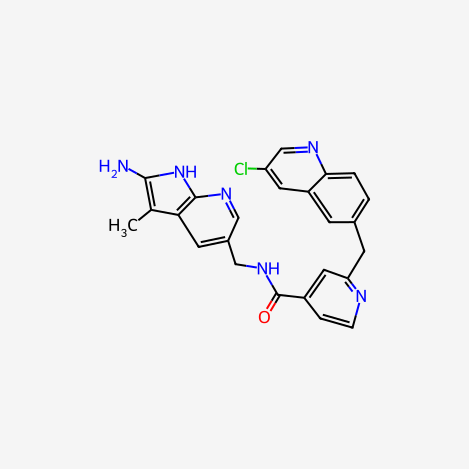 Cc1c(N)[nH]c2ncc(CNC(=O)c3ccnc(Cc4ccc5ncc(Cl)cc5c4)c3)cc12